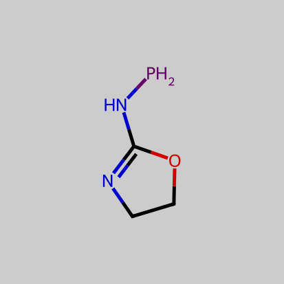 PNC1=NCCO1